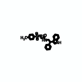 Cc1ccc(S(=O)(=O)NCC(=O)NCC(c2ccccc2)c2c[nH]c3ccccc23)cc1